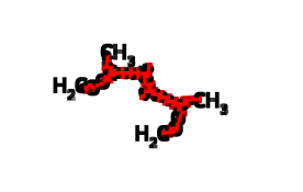 C=Cc1ccc(OCCCCOCc2ccc(N(C3=CCC(CCCCCC)C=C3)c3ccc(-c4ccc(-c5ccc(-c6ccc(N(c7ccccc7)c7ccc8c(c7)sc7cc(N(c9ccccc9)c9ccc(-c%10ccc(-c%11ccc(-c%12ccc(N(c%13ccc(CCCCCC)cc%13)c%13ccc(COCCCCOc%14ccc(C=C)cc%14)cc%13)cc%12)cc%11)cc%10)cc9)ccc78)cc6)cc5)cc4)cc3)cc2)cc1